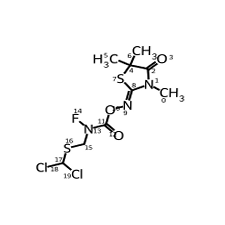 CN1C(=O)C(C)(C)SC1=NOC(=O)N(F)CSC(Cl)Cl